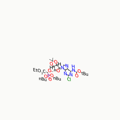 CCCCOP(=O)(OCCCC)C(OC[C@H]1O[C@@H](n2cnc3c(NC(=O)OC(C)(C)C)nc(Cl)nc32)[C@@H]2OC(C)(C)O[C@@H]21)C(=O)OCC